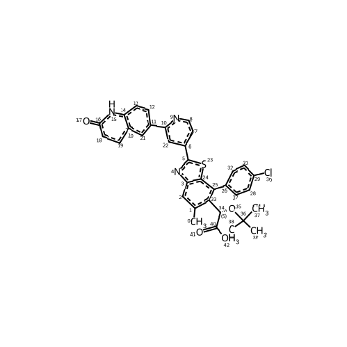 Cc1cc2nc(-c3ccnc(-c4ccc5[nH]c(=O)ccc5c4)c3)sc2c(-c2ccc(Cl)cc2)c1[C@H](OC(C)(C)C)C(=O)O